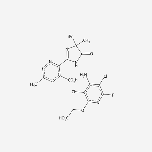 Cc1cnc(C2=NC(C)(C(C)C)C(=O)N2)c(C(=O)O)c1.Nc1c(Cl)c(F)nc(OCC(=O)O)c1Cl